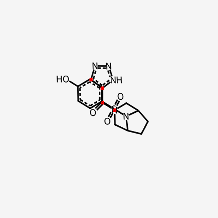 O=C(c1cnn[nH]1)N1CC2CCC(C1)N2S(=O)(=O)c1ccc(O)cc1